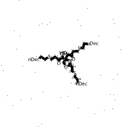 CCCCCCCCCCCCSCCC(=O)C(O)C1(C(O)C(=O)CCSCCCCCCCCCCCC)COC(CCSCCCCCCCCCCCC)=N1